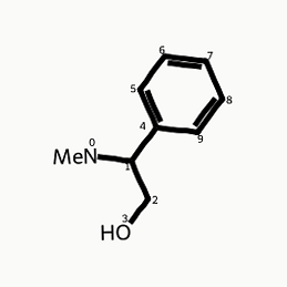 CNC(CO)c1ccccc1